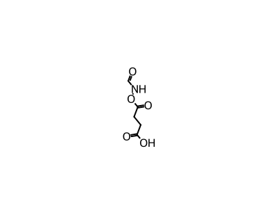 O=CNOC(=O)CCC(=O)O